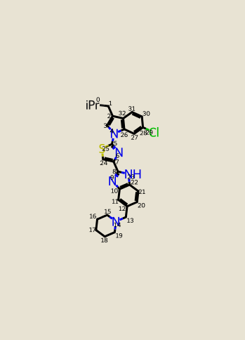 CC(C)Cc1cn(-c2nc(-c3nc4cc(CN5CCCCC5)ccc4[nH]3)cs2)c2cc(Cl)ccc12